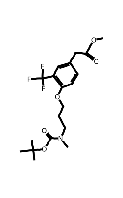 COC(=O)Cc1ccc(OCCCN(C)C(=O)OC(C)(C)C)c(C(F)(F)F)c1